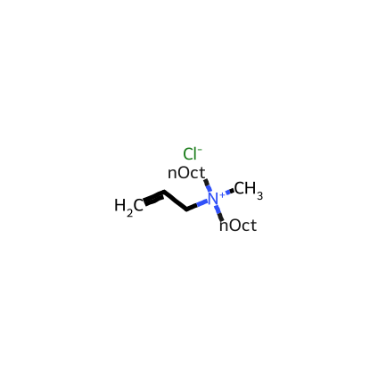 C=CC[N+](C)(CCCCCCCC)CCCCCCCC.[Cl-]